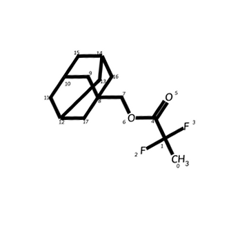 CC(F)(F)C(=O)OCC12CC3CC(CC(C3)C1)C2